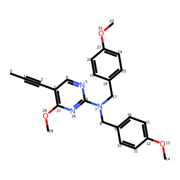 CC#Cc1cnc(N(Cc2ccc(OC)cc2)Cc2ccc(OC)cc2)nc1OC